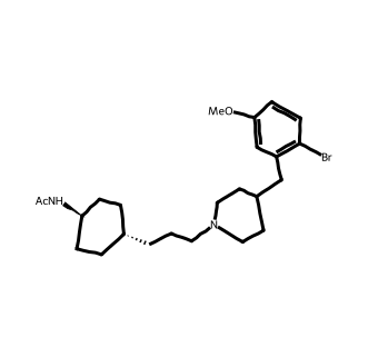 COc1ccc(Br)c(CC2CCN(CCC[C@H]3CC[C@H](NC(C)=O)CC3)CC2)c1